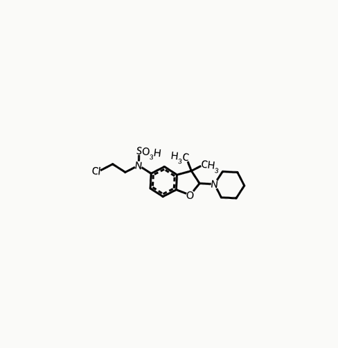 CC1(C)c2cc(N(CCCl)S(=O)(=O)O)ccc2OC1N1CCCCC1